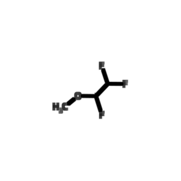 CO[C](F)C(F)F